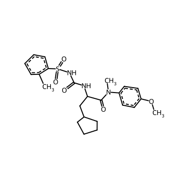 COc1ccc(N(C)C(=O)C(CC2CCCC2)NC(=O)NS(=O)(=O)c2ccccc2C)cc1